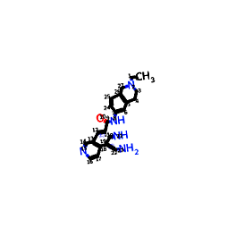 CCN1CCc2cc(NC(=O)/C=C/c3cnccc3/C(C=N)=C/N)ccc2C1